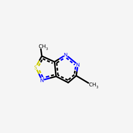 Cc1cc2nsc(C)c2nn1